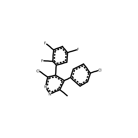 Cc1nnc(Cl)c(-c2cc(F)cc(F)c2F)c1-c1ccc(Cl)cc1